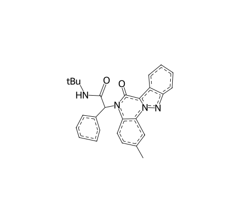 Cc1ccc2c(c1)n1nc3ccccc3c1c(=O)n2C(C(=O)NC(C)(C)C)c1ccccc1